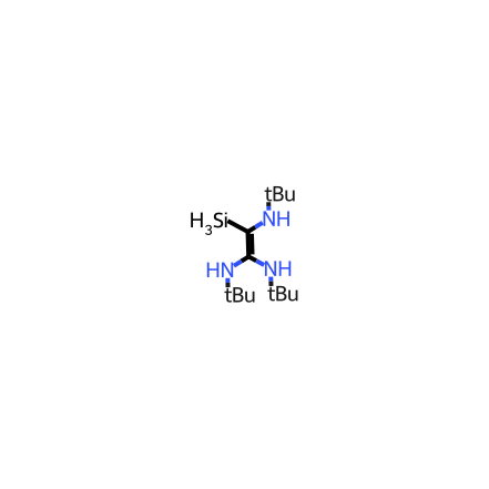 CC(C)(C)NC([SiH3])=C(NC(C)(C)C)NC(C)(C)C